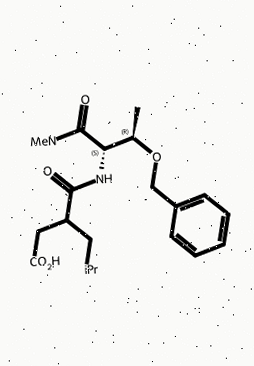 CNC(=O)[C@@H](NC(=O)C(CC(=O)O)CC(C)C)[C@@H](C)OCc1ccccc1